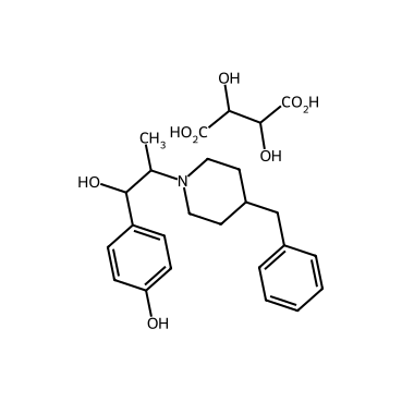 CC(C(O)c1ccc(O)cc1)N1CCC(Cc2ccccc2)CC1.O=C(O)C(O)C(O)C(=O)O